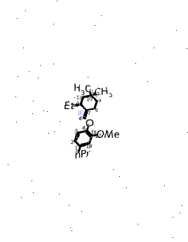 CCCc1ccc(O/C=C2\CCC(C)(C)CC2CC)c(OC)c1